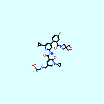 CO[C@@H](C)CNCc1cc(C(=O)Nc2cc(-c3ccc(Cl)cc3C(=O)N3CC4(COC4)C3)cc(C3CC3)n2)c(=O)n(C2CC2)c1